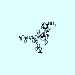 C=C[C@@]12OC(OC)O[C@@H]1[C@@](CCl)(COP(=O)(OCOC(=O)OC(C)C)OCOC(=O)OC(C)C)O[C@H]2n1cnc2c(N)ncnc21